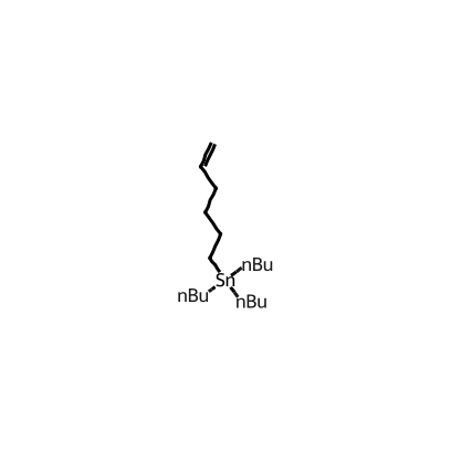 C=CCCC[CH2][Sn]([CH2]CCC)([CH2]CCC)[CH2]CCC